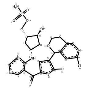 NS(=O)(=O)OC[C@H]1C[C@@H](Nc2ncncc2C(=O)c2cc(C3OCCc4cnc(Cl)cc43)c(Cl)s2)C[C@@H]1O